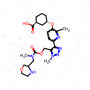 Cc1nc(-c2nnn(C)c2COC(=O)N(C)CC2COCCN2)ccc1O[C@H]1CCC[C@H](C(=O)O)C1